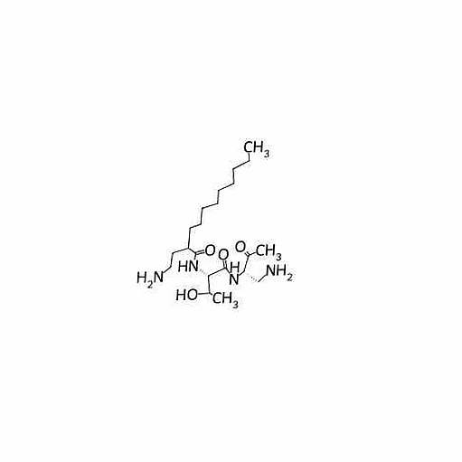 CCCCCCCCCC(CCN)C(=O)N[C@H](C(=O)N[C@@H](CN)C(C)=O)C(C)O